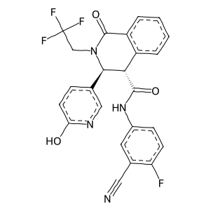 N#Cc1cc(NC(=O)[C@H]2c3ccccc3C(=O)N(CC(F)(F)F)[C@@H]2c2ccc(O)nc2)ccc1F